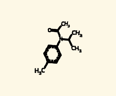 CC(=O)N(c1ccc(C)cc1)C(C)C